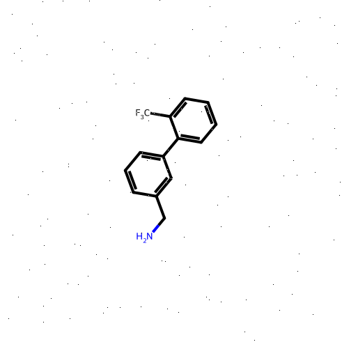 NCc1[c]ccc(-c2ccccc2C(F)(F)F)c1